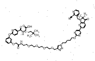 CC(C)(C)CC[C@H](NC(=O)c1ccc(Oc2cccc(OCC(=O)NCCOCCOCCOCCOCc3cn(CCCCCOc4ncc(-c5ccc6c(n5)N(Cc5cccnc5C#N)C(C)(C)C6=O)cn4)nn3)c2)nc1)C(=O)O